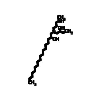 CCCCCCCCCCCCCCCCC(O)CN(CCCNC)CC(O)CC